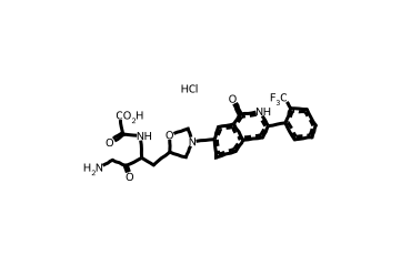 Cl.NCC(=O)C(CC1CN(c2ccc3cc(-c4ccccc4C(F)(F)F)[nH]c(=O)c3c2)CO1)NC(=O)C(=O)O